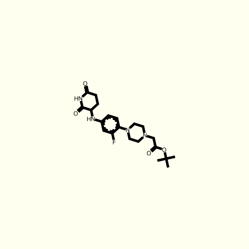 CC(C)(C)OC(=O)CN1CCN(c2ccc(NC3CCC(=O)NC3=O)cc2F)CC1